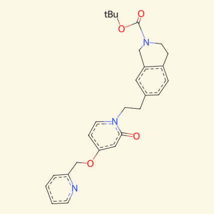 CC(C)(C)OC(=O)N1CCc2ccc(CCn3ccc(OCc4ccccn4)cc3=O)cc2C1